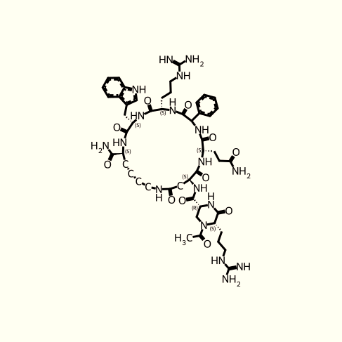 CC(=O)N1C[C@H](C(=O)N[C@H]2CC(=O)NCCCC[C@@H](C(N)=O)NC(=O)[C@H](Cc3c[nH]c4ccccc34)NC(=O)[C@H](CCCNC(=N)N)NC(=O)C(c3ccccc3)NC(=O)[C@H](CCC(N)=O)NC2=O)NC(=O)[C@@H]1CCCNC(=N)N